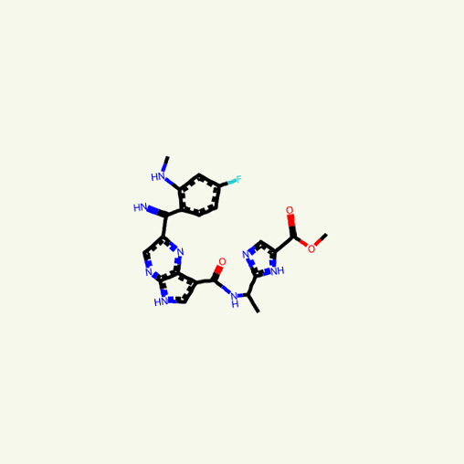 CNc1cc(F)ccc1C(=N)c1cnc2[nH]cc(C(=O)NC(C)c3ncc(C(=O)OC)[nH]3)c2n1